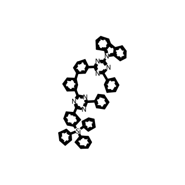 c1ccc(-c2nc(-c3cccc(-c4cccc(-c5nc(-c6ccccc6)nc(-n6c7ccccc7c7ccccc76)n5)c4)c3)nc(-c3cccc([Si](c4ccccc4)(c4ccccc4)c4ccccc4)c3)n2)cc1